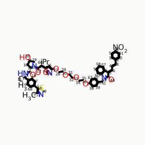 Cc1ncsc1-c1ccc([C@H](C)NC(=O)[C@@H]2C[C@@H](O)CN2C(=O)[C@H](c2cc(OCCOCCOCCOc3ccc(CN4C(=O)/C(=C/C=C/c5ccc([N+](=O)[O-])cc5)c5ccccc54)cc3)no2)C(C)C)cc1